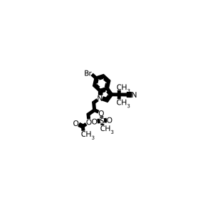 CC(=O)OCC(Cn1cc(C(C)(C)C#N)c2ccc(Br)cc21)OS(C)(=O)=O